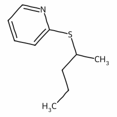 CCCC(C)Sc1ccccn1